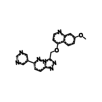 COc1ccc2c(OCc3nnc4ccc(-c5cncnc5)nn34)ccnc2c1